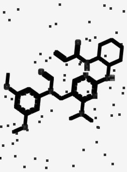 C=CC(=O)NC1CCCCC1Nc1ncc(CN(C=O)c2cc(OC)cc(OC)c2)c(N(C)C)n1